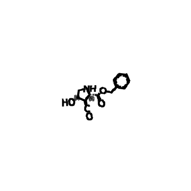 O=C=C1[C@@H](C(=O)OCc2ccccc2)NC[C@H]1O